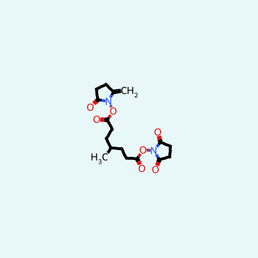 C=C1CCC(=O)N1OC(=O)CCC(C)CCC(=O)ON1C(=O)CCC1=O